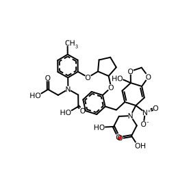 Cc1ccc(N(CC(=O)O)CC(=O)O)c(OC2CCCC2Oc2ccccc2CC2=CC3(O)OCOC3=CC2(N(CC(=O)O)CC(=O)O)[N+](=O)[O-])c1